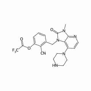 Cn1c(=O)n(Cc2cccc(OC(=O)C(F)(F)F)c2C#N)c2c(N3CCNCC3)ccnc21